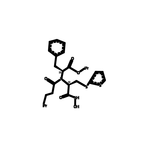 CC(C)CCC(=O)N([C@@H](CSc1cccs1)C(=O)NO)[C@@H](Cc1ccccc1)C(=O)OC(C)C